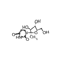 C[C@@]1(n2ccc(=O)[nH]c2=O)O[C@H](CO)[C@@H](O)[C@@H]1O